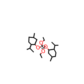 CCO[Si](OCC)(OC1CC(C)CCC1C(C)C)OC1CC(C)CCC1C(C)C